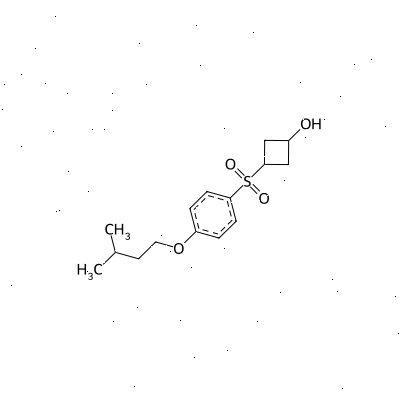 CC(C)CCOc1ccc(S(=O)(=O)C2CC(O)C2)cc1